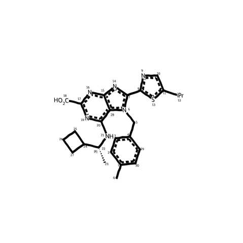 Cc1ccc(Cn2c(-c3ncc(C(C)C)s3)nc3nc(C(=O)O)nc(N[C@H](C)C4CCC4)c32)cc1